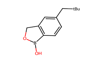 CC(C)(C)Cc1ccc2c(c1)COB2O